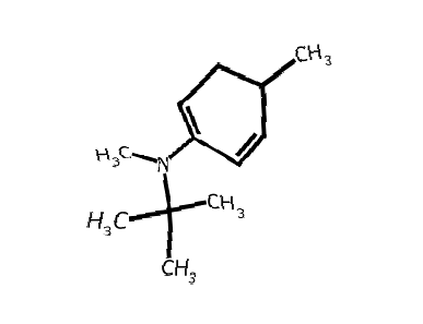 CC1C=CC(N(C)C(C)(C)C)=CC1